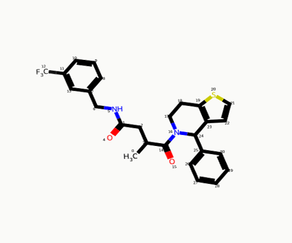 CC(CC(=O)NCc1cccc(C(F)(F)F)c1)C(=O)N1CCc2sccc2C1c1ccccc1